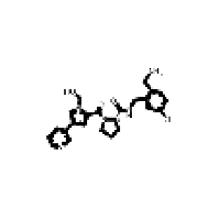 NCc1ccc(Cl)cc1CNC(=O)[C@@H]1CCCN1C(=O)c1cc(-c2cccnc2)cn1CO